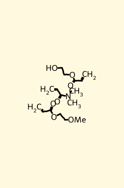 C=CC(=O)N(C)C.C=CC(=O)OCCO.C=CC(=O)OCCOC